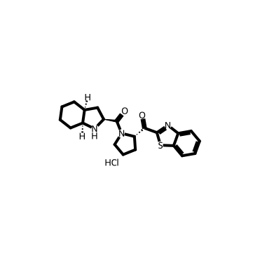 Cl.O=C(c1nc2ccccc2s1)[C@@H]1CCCN1C(=O)[C@@H]1C[C@@H]2CCCC[C@@H]2N1